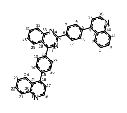 c1ccc2c(-c3ccc(-c4nc(-c5ccc(-c6ccnc7ccccc67)cc5)c5ccccc5n4)cc3)ccnc2c1